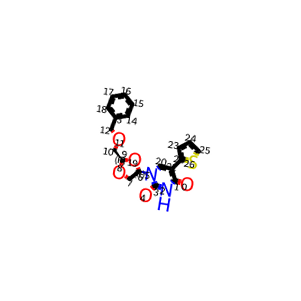 O=c1[nH]c(=O)n([C@H]2CO[C@@H](COCc3ccccc3)O2)cc1-c1cccs1